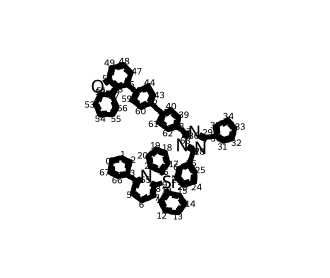 c1ccc(-c2cccc([Si](c3ccccc3)(c3ccccc3)c3cccc(-c4nc(-c5ccccc5)nc(-c5ccc(-c6ccc(-c7cccc8oc9ccccc9c78)cc6)cc5)n4)c3)n2)cc1